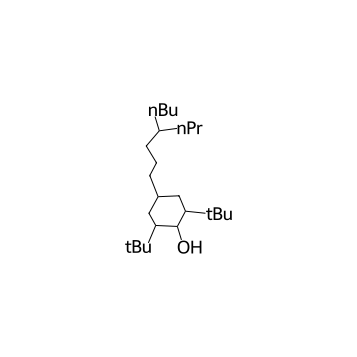 CCCCC(CCC)CCCC1CC(C(C)(C)C)C(O)C(C(C)(C)C)C1